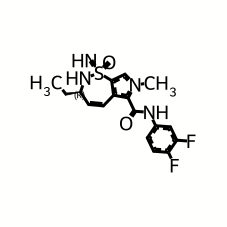 CC[C@@H]1C=Cc2c(cn(C)c2C(=O)Nc2ccc(F)c(F)c2)S(=N)(=O)N1